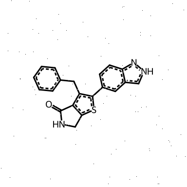 O=C1NCc2sc(-c3ccc4n[nH]cc4c3)c(Cc3ccccc3)c21